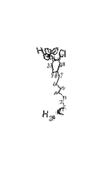 CCCCCCCCc1ccc(S(=O)(=O)O)c(Cl)c1